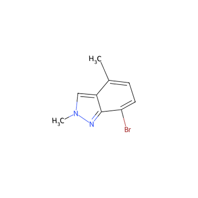 Cc1ccc(Br)c2nn(C)cc12